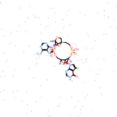 Nc1ncnc2c1ncn2[C@@H]1O[C@]23CCOP(=O)(O)O[C@@H]4[C@H](O)[C@@H](COP(=O)(O)O[C@H]2[C@H]1OC3)O[C@H]4n1cc(F)c2c(=O)[nH]cnc21